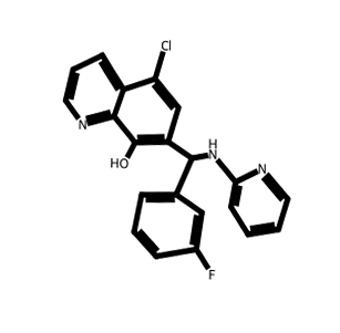 Oc1c(C(Nc2ccccn2)c2cccc(F)c2)cc(Cl)c2cccnc12